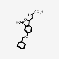 O=C(O)NCC1OB(O)c2cc(OCc3ccccc3)ccc21